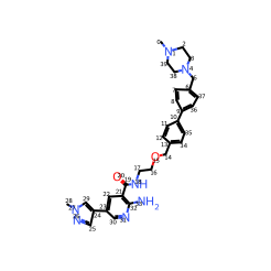 CN1CCN(Cc2ccc(-c3ccc(COCCNC(=O)c4cc(-c5cnn(C)c5)cnc4N)cc3)cc2)CC1